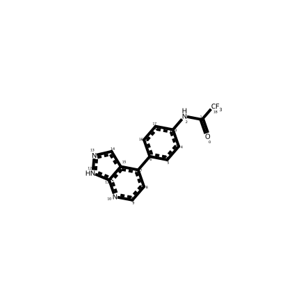 O=C(Nc1ccc(-c2ccnc3[nH]ncc23)cc1)C(F)(F)F